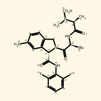 C[C@@H](C(=O)N[C@H](C(=O)N1Cc2ccc(N)cc2[C@H]1C(=O)Nc1c(F)cccc1F)C(C)(C)C)N(C)C(=O)O